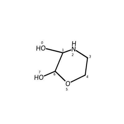 OC1NCCOC1O